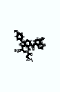 C=CC(=O)N1CC(C)c2nn(-c3ccc(C(C)C)cc3)c3c2C(C1)N(C(=O)c1ccc(Br)c2[nH]cnc12)CC3